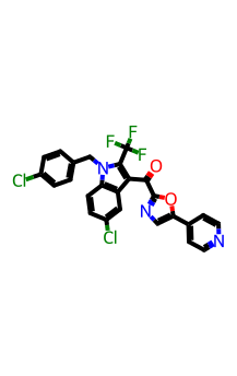 O=C(c1ncc(-c2ccncc2)o1)c1c(C(F)(F)F)n(Cc2ccc(Cl)cc2)c2ccc(Cl)cc12